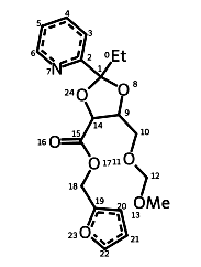 CCC1(c2ccccn2)OC(COCOC)C(C(=O)OCc2ccco2)O1